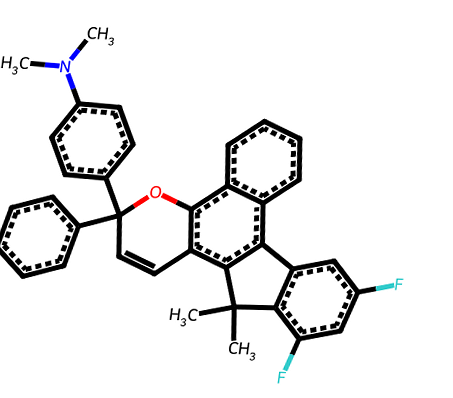 CN(C)c1ccc(C2(c3ccccc3)C=Cc3c4c(c5ccccc5c3O2)-c2cc(F)cc(F)c2C4(C)C)cc1